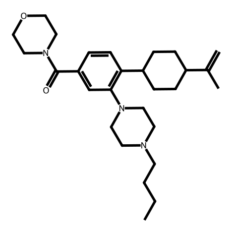 C=C(C)C1CCC(c2ccc(C(=O)N3CCOCC3)cc2N2CCN(CCCC)CC2)CC1